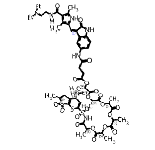 CCN[C@H]1C=C(S(=O)(=O)NC(=O)[C@H](C)OC(=O)[C@H](C)OC(=O)[C@H](C)OC(=O)[C@H](C)OC(=O)[C@H](C)OC(=O)[C@H](C)OC(=O)CCC(=O)Nc2ccc3c(c2)/C(=C/c2[nH]c(C)c(C(=O)NCCN(CC)CC)c2C)C(=O)N3)SC2=C1C[C@H](C)S2(=O)=O